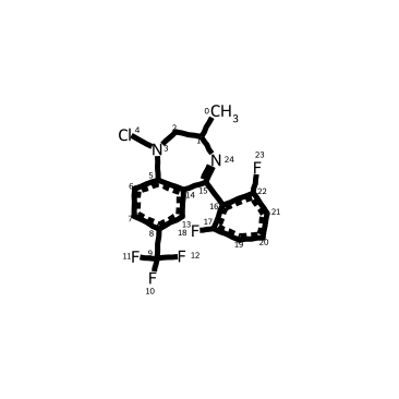 CC1CN(Cl)c2ccc(C(F)(F)F)cc2C(c2c(F)cccc2F)=N1